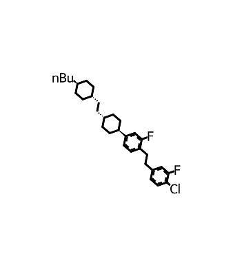 CCCC[C@H]1CC[C@H](CC[C@H]2CC[C@H](c3ccc(CCc4ccc(Cl)c(F)c4)c(F)c3)CC2)CC1